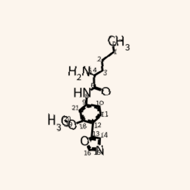 CCCC[C@H](N)C(=O)Nc1ccc(-c2cnco2)c(OC)c1